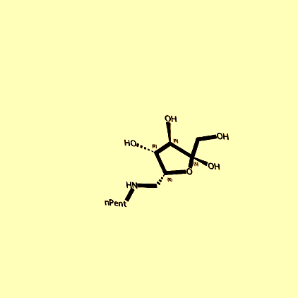 CCCCCNC[C@H]1O[C@@](O)(CO)[C@H](O)[C@H]1O